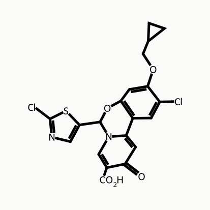 O=C(O)c1cn2c(cc1=O)-c1cc(Cl)c(OCC3CC3)cc1OC2c1cnc(Cl)s1